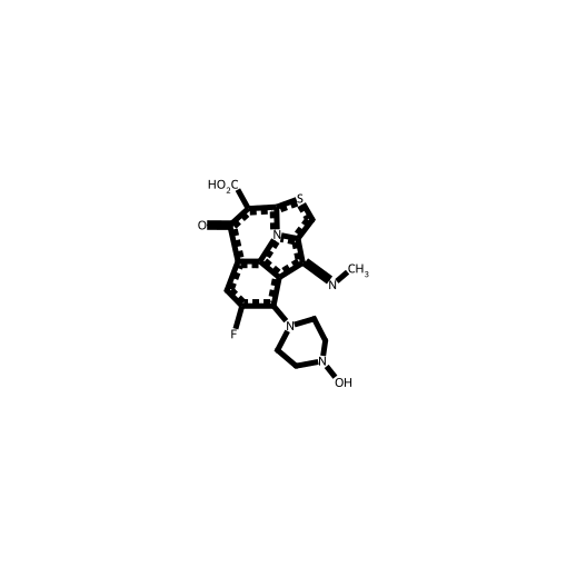 CN=c1c2c(N3CCN(O)CC3)c(F)cc3c(=O)c(C(=O)O)c4scc1n4c32